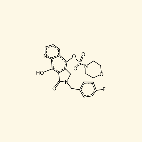 O=C1c2c(c(OS(=O)(=O)N3CCOCC3)c3cccnc3c2O)CN1Cc1ccc(F)cc1